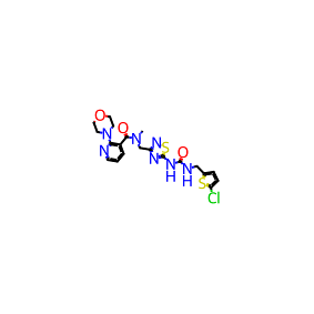 CN(Cc1nsc(NC(=O)NCc2ccc(Cl)s2)n1)C(=O)c1cccnc1N1CCOCC1